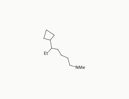 CCC(CCCCNC)C1CCC1